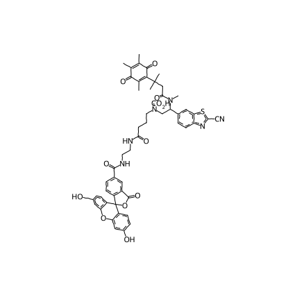 CC1=C(C)C(=O)C(C(C)(C)CC(=O)N(C)C(CN(CCCC(=O)NCCNC(=O)c2ccc3c(c2)C(=O)OC32c3ccc(O)cc3Oc3cc(O)ccc32)C(=O)O)c2ccc3nc(C#N)sc3c2)=C(C)C1=O